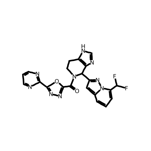 O=C(c1nnc(-c2ncccn2)o1)N1CCc2[nH]cnc2C1c1cc2cccc(C(F)F)n2n1